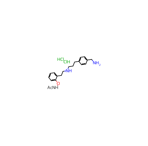 CC(=O)NOc1ccccc1CCNCCCc1ccc(CN)cc1.Cl.Cl